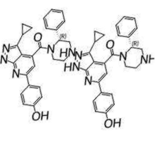 O=C(c1cc(-c2ccc(O)cc2)nc2[nH]nc(C3CC3)c12)N1CCNC[C@H]1c1ccccc1.O=C(c1cc(-c2ccc(O)cc2)nc2[nH]nc(C3CC3)c12)N1CCNC[C@H]1c1ccccc1